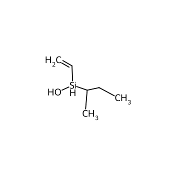 C=C[SiH](O)C(C)CC